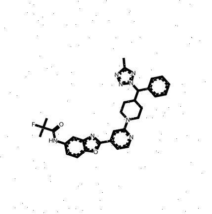 Cc1nnn(C(c2ccccc2)C2CCN(c3cc(-c4nc5cc(NC(=O)C(C)(C)F)ccc5o4)ccn3)CC2)n1